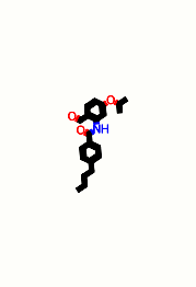 CCCCc1ccc(C(=O)Nc2cc(OC(C)C)ccc2[C]=O)cc1